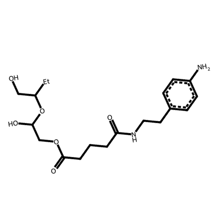 CCC(CO)OC(O)COC(=O)CCCC(=O)NCCc1ccc(N)cc1